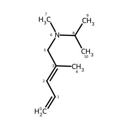 C=C/C=C(\C)CN(C)C(C)C